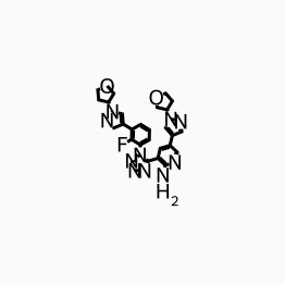 Nc1ncc(-c2cnn(C3CCOC3)c2)cc1-c1nnnn1-c1cccc(-c2cnn(C3CCOC3)c2)c1F